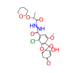 COc1cc(C(=O)NNC(=O)C(C)OC2CCCCO2)c(Cl)c2c1C(=O)[C@@]1(CCC(=O)C=C1O)O2